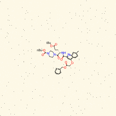 CCCCOC(=O)N1CCN(C(=O)[C@H](CCC(=O)OC(C)(C)C)NC(=O)c2cc(O[C@H](C)C(=O)OCc3ccccc3)c3ccc(C)cc3n2)CC1